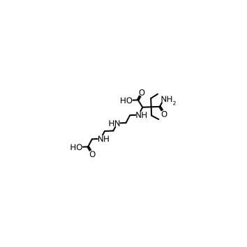 CCC(CC)(C(N)=O)C(NCCNCCNCC(=O)O)C(=O)O